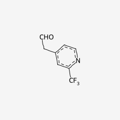 O=CCc1ccnc(C(F)(F)F)c1